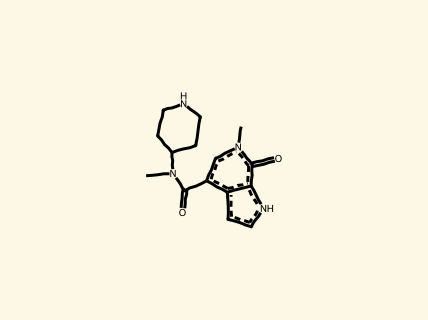 CN(C(=O)c1cn(C)c(=O)c2[nH]ccc12)C1CCNCC1